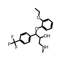 CCOc1ccccc1OC(c1ccc(C(F)(F)F)cc1)C(O)CNC